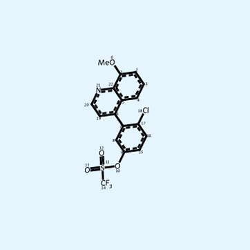 COc1cccc2c(-c3cc(OS(=O)(=O)C(F)(F)F)ccc3Cl)ccnc12